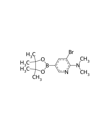 CN(C)c1ncc(B2OC(C)(C)C(C)(C)O2)cc1Br